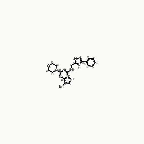 Brc1cnn2c(NCc3nnc(-c4ccccc4)[nH]3)nc(N3CCOCC3)nc12